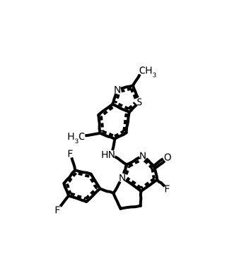 Cc1nc2cc(C)c(Nc3nc(=O)c(F)c4n3C(c3cc(F)cc(F)c3)CC4)cc2s1